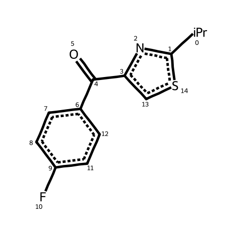 CC(C)c1nc(C(=O)c2ccc(F)cc2)cs1